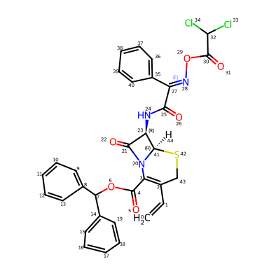 C=CC1=C(C(=O)OC(c2ccccc2)c2ccccc2)N2C(=O)[C@@H](NC(=O)/C(=N/OC(=O)C(Cl)Cl)c3ccccc3)[C@H]2SC1